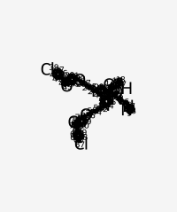 O=C(NCCCn1cccn1)C(C(C(=O)NC1CCC1)N1CCN(CCCCCOc2ccc3c(-c4ccc(Cl)cc4)coc3c2)CC1)N1CCN(CCCCCOc2ccc3c(-c4ccc(Cl)cc4)coc3c2)CC1